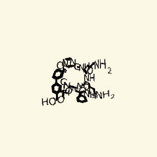 CN1C(=O)[C@H](CCCCN)NC(=O)[C@H](CCCN)NCc2nccnc2Sc2c(Cl)ccc(-c3ccc(C(=O)O)c(F)c3)c2CNC(=O)[C@@H]1Cc1c[nH]c2ccccc12